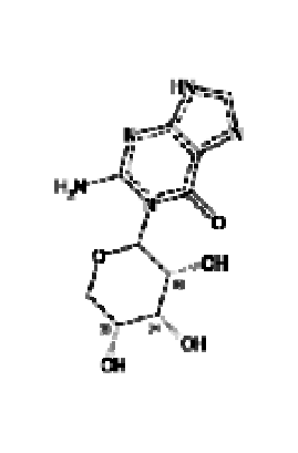 Nc1nc2[nH]cnc2c(=O)n1C1OC[C@@H](O)[C@@H](O)[C@H]1O